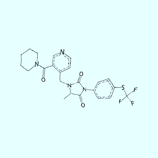 CC1C(=O)N(c2ccc(SC(F)(F)F)cc2)C(=O)N1Cc1ccncc1C(=O)N1CCCCC1